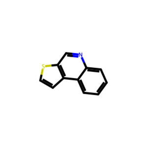 c1ccc2c(c1)ncc1sccc12